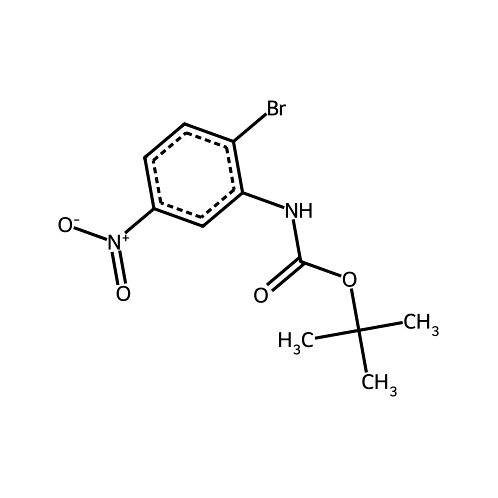 CC(C)(C)OC(=O)Nc1cc([N+](=O)[O-])ccc1Br